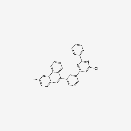 Cc1ccc2cc(-c3cccc(-c4cc(Cl)nc(-c5ccccc5)n4)c3)c3ccccc3c2c1